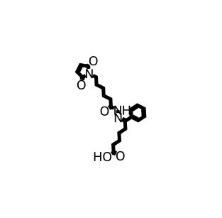 O=C(O)CCCC/C(=N/NC(=O)CCCCCN1C(=O)C=CC1=O)c1ccccc1